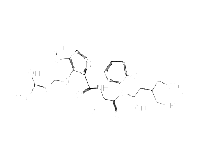 CCC(CC)[C@@H](Oc1ccccc1)[C@H](C)OC(=O)[C@H](C)NC(=O)c1nccc(OC)c1OCOC(C)O